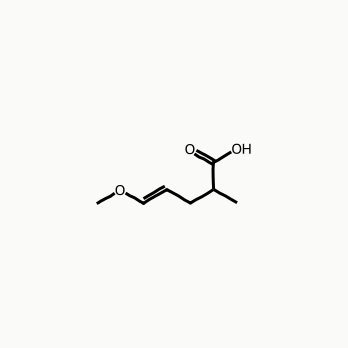 COC=CCC(C)C(=O)O